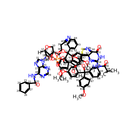 COc1ccc(C(OC[C@@]23CO[C@@H]([C@H](n4cnc5c(NC(=O)c6ccccc6)ncnc54)O2)[C@@H]3OP(=O)(OCCC#N)OC[C@H]2O[C@@H](c3snc4c(=O)[nH]c(NC(=O)C(C)C)nc34)[C@H](OC(c3ccccc3)(c3ccc(OC)cc3)c3ccc(OC)cc3)[C@@H]2OC)(c2ccccc2)c2ccc(OC)cc2)cc1